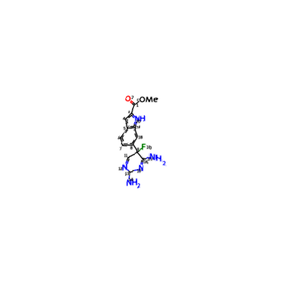 COC(=O)c1cc2ccc(C3(F)C=NC(N)N=C3N)cc2[nH]1